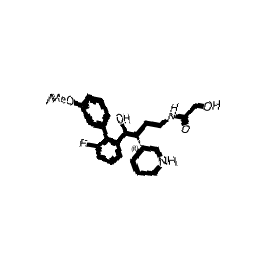 COc1cccc(-c2c(F)cccc2C(O)C(CCNC(=O)CO)[C@H]2CCCNC2)c1